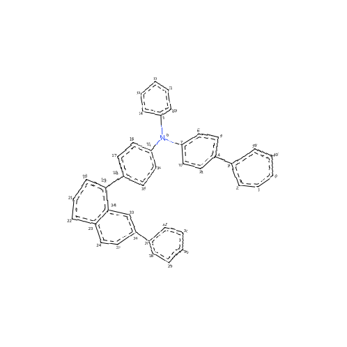 c1ccc(-c2ccc(N(c3ccccc3)c3ccc(-c4cccc5ccc(-c6ccccc6)cc45)cc3)cc2)cc1